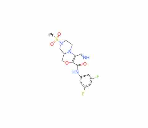 CC(C)S(=O)(=O)N1CCN2C(C=N)=C(C(=O)Nc3cc(F)cc(F)c3)OCC2C1